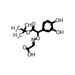 CC(C)(C)OC(=O)C(ON=CC(=O)O)c1ccc(O)c(O)c1